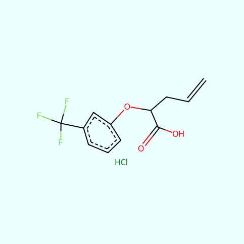 C=CCC(Oc1cccc(C(F)(F)F)c1)C(=O)O.Cl